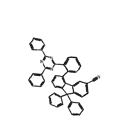 N#Cc1ccc2c(c1)-c1c(-c3ccccc3-c3nc(-c4ccccc4)nc(-c4ccccc4)n3)cccc1C2(c1ccccc1)c1ccccc1